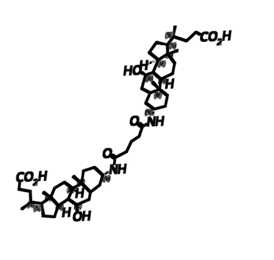 C[C@@H](CCC(=O)O)[C@@H]1CC[C@@H]2C3[C@H](O)CC4C[C@@H](NC(=O)CCCC(=O)N[C@H]5CC[C@]6(C)C(C5)C[C@@H](O)C5[C@H]7CC[C@@H]([C@@H](C)CCC(=O)O)[C@]7(C)CC[C@H]56)CC[C@@]4(C)[C@@H]3CC[C@]21C